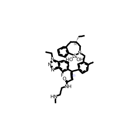 CC[C@H]1Cc2ccccc2S(O)(O)N(Cc2cc(/C(=C/C(=O)NCCNC)c3ccc4c(nnn4CC)c3F)ccc2C)C1